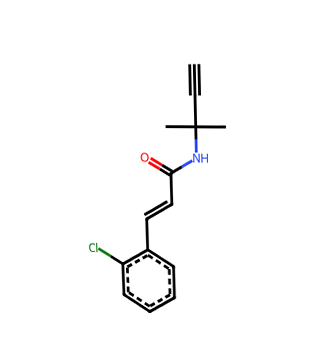 C#CC(C)(C)NC(=O)C=Cc1ccccc1Cl